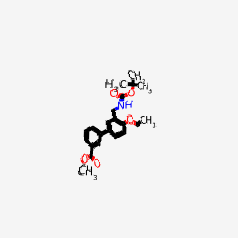 CCOc1ccc(-c2cccc(C(=O)OC)c2)cc1CNC(=O)OC(C)(C)C